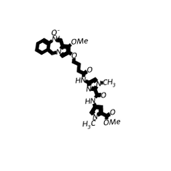 COC(=O)c1cc(NC(=O)c2nc(NC(=O)CCCOc3cn4c(c3OC)C=[N+]([O-])C3=CCCCC3C4)cn2C)cn1C